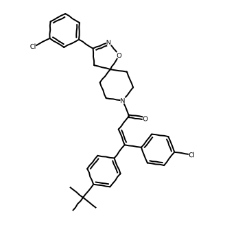 CC(C)(C)c1ccc(C(=CC(=O)N2CCC3(CC2)CC(c2cccc(Cl)c2)=NO3)c2ccc(Cl)cc2)cc1